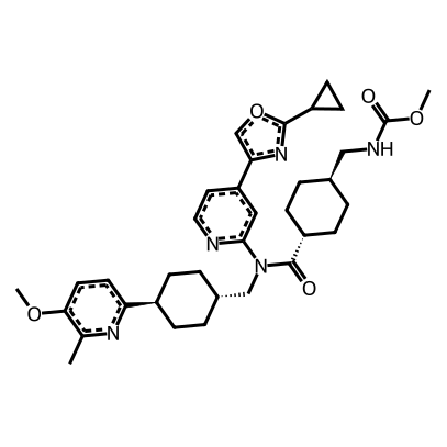 COC(=O)NC[C@H]1CC[C@H](C(=O)N(C[C@H]2CC[C@H](c3ccc(OC)c(C)n3)CC2)c2cc(-c3coc(C4CC4)n3)ccn2)CC1